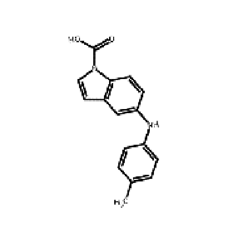 Cc1ccc(Nc2ccc3c(ccn3C(=O)O)c2)cc1